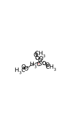 COc1ccc([C@]2(SC)COc3cc(OC)ccc3[C@@H]2CCCCCCCCOC(C)=O)cc1